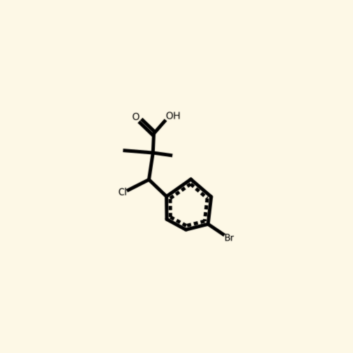 CC(C)(C(=O)O)C(Cl)c1ccc(Br)cc1